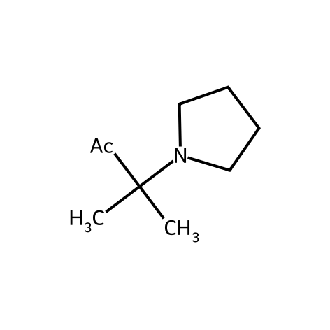 CC(=O)C(C)(C)N1CCCC1